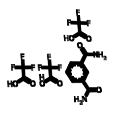 NC(=O)c1cccc(C(N)=O)c1.O=C(O)C(F)(F)F.O=C(O)C(F)(F)F.O=C(O)C(F)(F)F